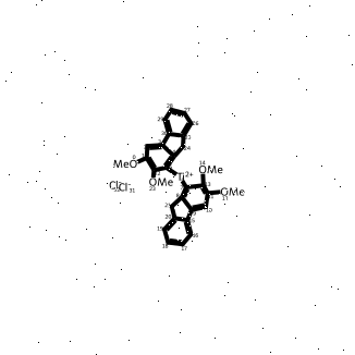 COc1cc2c([c]([Ti+2][c]3c4c(cc(OC)c3OC)-c3ccccc3C4)c1OC)Cc1ccccc1-2.[Cl-].[Cl-]